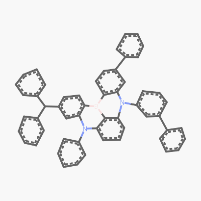 c1ccc(-c2cccc(N3c4cc(-c5ccccc5)ccc4B4c5ccc(C(c6ccccc6)c6ccccc6)cc5N(c5ccccc5)c5cccc3c54)c2)cc1